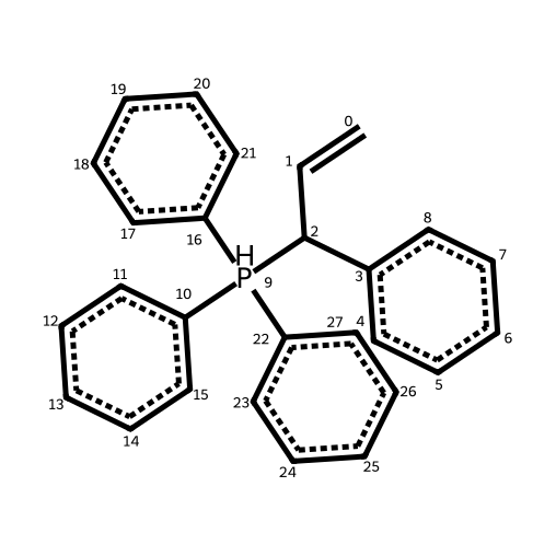 C=CC(c1ccccc1)[PH](c1ccccc1)(c1ccccc1)c1ccccc1